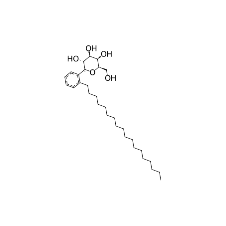 CCCCCCCCCCCCCCCCCCc1ccccc1[C]1O[C@H](CO)[C@H](O)[C@H](O)[C@H]1O